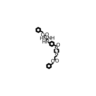 N=C(NC(=O)OCc1ccccc1)Nc1ccc(C(=O)N2CCN(CCC(=O)OCc3ccccc3)CC2)cc1